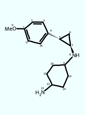 COc1ccc([C@@H]2C[C@H]2NC2CCC(N)CC2)cc1